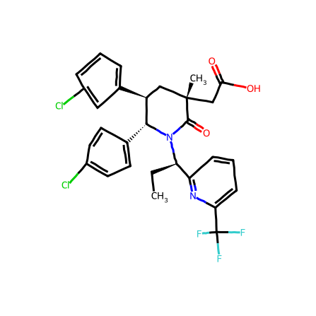 CC[C@H](c1cccc(C(F)(F)F)n1)N1C(=O)[C@@](C)(CC(=O)O)C[C@H](c2cccc(Cl)c2)[C@H]1c1ccc(Cl)cc1